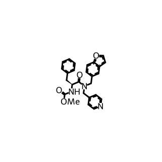 COC(=O)N[C@@H](Cc1ccccc1)C(=O)N(Cc1ccncc1)Cc1ccc2occc2c1